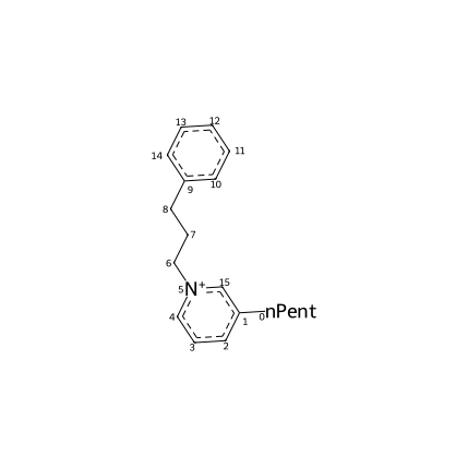 CCCCCc1ccc[n+](CCCc2ccccc2)c1